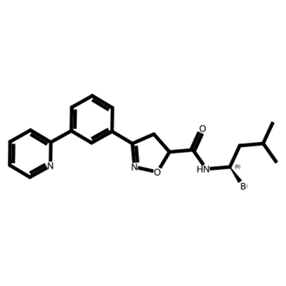 [B][C@H](CC(C)C)NC(=O)C1CC(c2cccc(-c3ccccn3)c2)=NO1